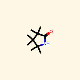 CC1(C)NC(=O)C(C)(C)C1(C)C